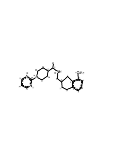 COc1cccc2c1CC(CNC(C)C1CCN(c3ncccn3)CC1)CC2